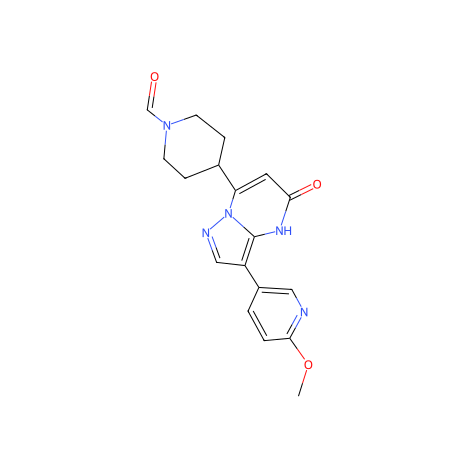 COc1ccc(-c2cnn3c(C4CCN(C=O)CC4)cc(=O)[nH]c23)cn1